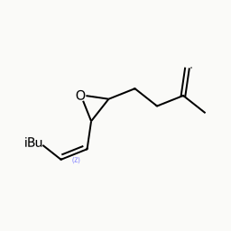 [CH]=C(C)CCC1OC1/C=C\C(C)C[CH2]